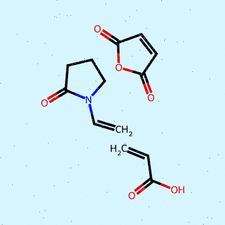 C=CC(=O)O.C=CN1CCCC1=O.O=C1C=CC(=O)O1